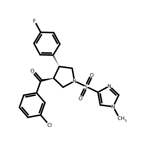 Cn1cnc(S(=O)(=O)N2C[C@@H](C(=O)c3cccc(Cl)c3)[C@H](c3ccc(F)cc3)C2)c1